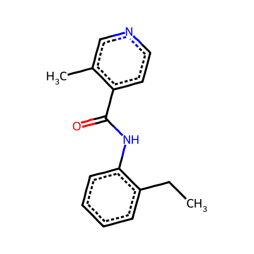 CCc1ccccc1NC(=O)c1ccncc1C